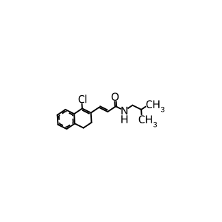 CC(C)CNC(=O)C=CC1=C(Cl)c2ccccc2CC1